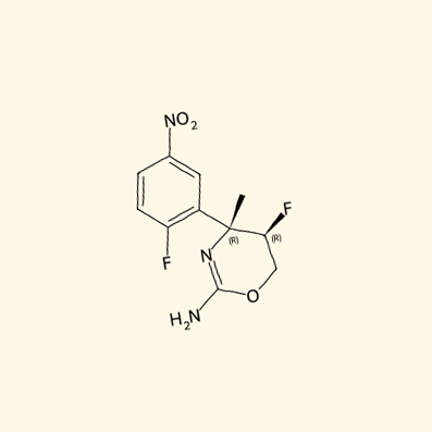 C[C@]1(c2cc([N+](=O)[O-])ccc2F)N=C(N)OC[C@@H]1F